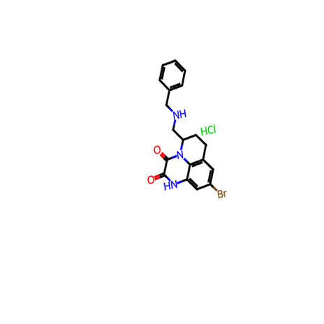 Cl.O=c1[nH]c2cc(Br)cc3c2n(c1=O)C(CNCc1ccccc1)CC3